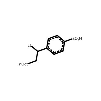 CCCCCCCCCC(CC)c1ccc(S(=O)(=O)O)cc1